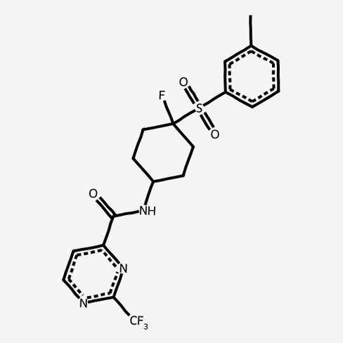 Cc1cccc(S(=O)(=O)C2(F)CCC(NC(=O)c3ccnc(C(F)(F)F)n3)CC2)c1